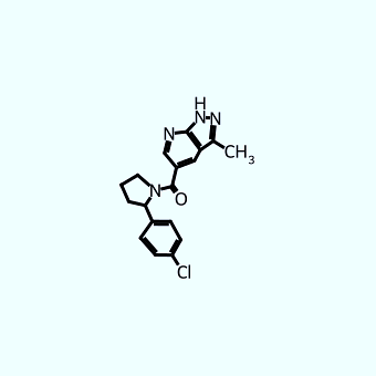 Cc1n[nH]c2ncc(C(=O)N3CCCC3c3ccc(Cl)cc3)cc12